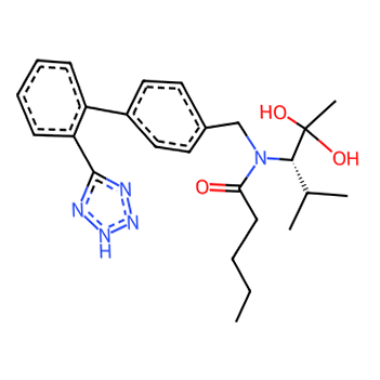 CCCCC(=O)N(Cc1ccc(-c2ccccc2-c2nn[nH]n2)cc1)[C@@H](C(C)C)C(C)(O)O